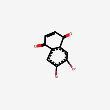 O=C1C=CC(=O)c2cc(Br)c(Br)cc21